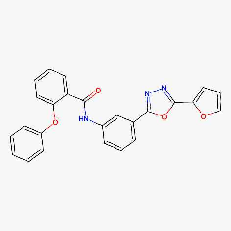 O=C(Nc1cccc(-c2nnc(-c3ccco3)o2)c1)c1ccccc1Oc1ccccc1